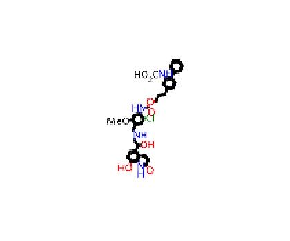 COc1cc(NC(=O)OCCCc2ccc(-c3ccccc3)c(NC(=O)O)c2)c(Cl)cc1CNC[C@H](O)c1ccc(O)c2[nH]c(=O)ccc12